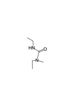 CCNC(=O)N(C)CC